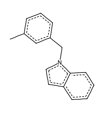 Cc1cccc(Cn2ccc3ccccc32)c1